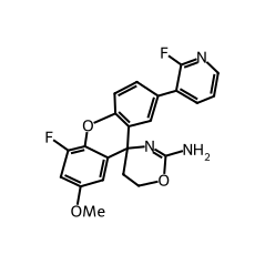 COc1cc(F)c2c(c1)C1(CCOC(N)=N1)c1cc(-c3cccnc3F)ccc1O2